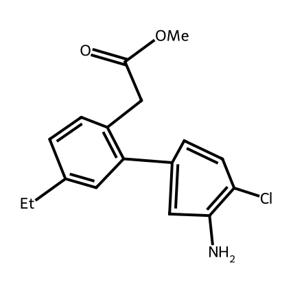 CCc1ccc(CC(=O)OC)c(-c2ccc(Cl)c(N)c2)c1